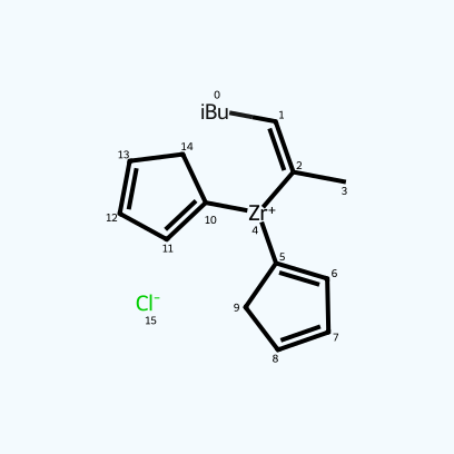 CCC(C)/C=[C](/C)[Zr+]([C]1=CC=CC1)[C]1=CC=CC1.[Cl-]